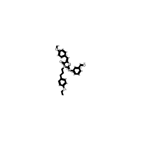 CCOc1ccc(CCCN2C(=O)/C(=C\c3ccc(OC)cc3)O/C2=N\c2cccc(C=O)c2)cc1